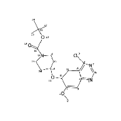 COC1=Cc2ncnc(Cl)c2CC1OC1CCN(C(=O)OC(C)(C)C)CC1